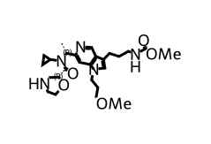 COCCCn1cc(CCCNC(=O)OC)c2cnc([C@@H](C)N(C(=O)[C@H]3CNCCO3)C3CC3)cc21